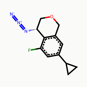 [N-]=[N+]=N[C@@H]1COCc2cc(C3CC3)cc(F)c21